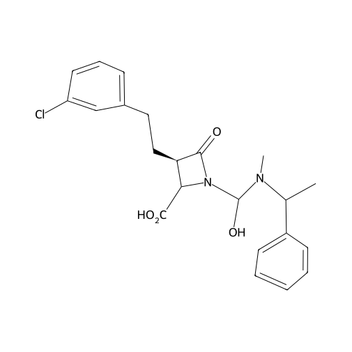 CC(c1ccccc1)N(C)C(O)N1C(=O)[C@H](CCc2cccc(Cl)c2)C1C(=O)O